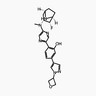 CN(c1cnc(-c2ccc(-c3cnn(C4COC4)c3)cc2O)cn1)[C@@H]1C[C@H]2CC[C@H](N2)[C@@H]1F